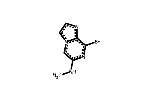 CNc1cn2ccnc2c(Br)n1